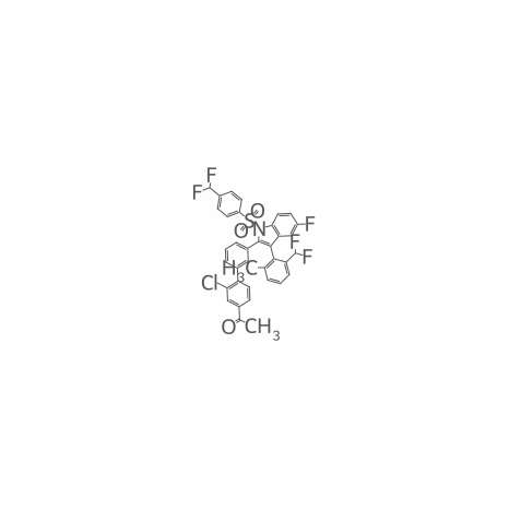 CC(=O)c1ccc(-c2cccc(-c3c(-c4c(C)cccc4C(F)F)c4cc(F)ccc4n3S(=O)(=O)c3ccc(C(F)F)cc3)c2)c(Cl)c1